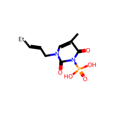 CCC=CCn1cc(C)c(=O)n(P(=O)(O)O)c1=O